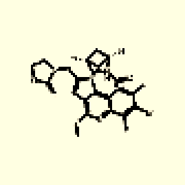 CSc1nc2c(F)c(Br)c(C)cc2c2c1cc(CN1CCOC1=O)n2[C@H]1[C@@H]2C[C@H]1N(C(=O)O)C2